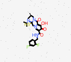 CC(C)N1C[C@@H](C)CN2C(=O)c3c(O)c(=O)c(C(=O)NCc4ccc(F)cc4F)cn3CC21S